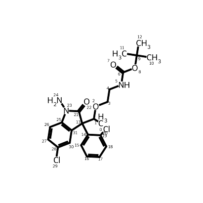 CC(OCCNC(=O)OC(C)(C)C)C1(c2ccccc2Cl)C(=O)N(N)c2ccc(Cl)cc21